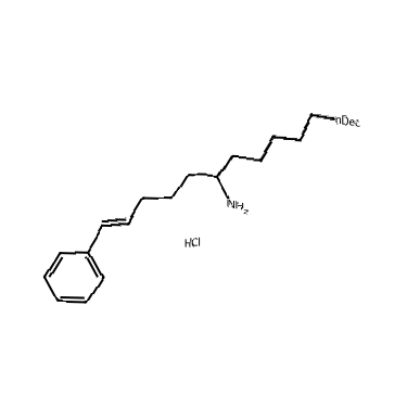 CCCCCCCCCCCCCCCC(N)CCCC=Cc1ccccc1.Cl